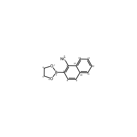 N#Cc1c(B2OCCO2)ccc2ccccc12